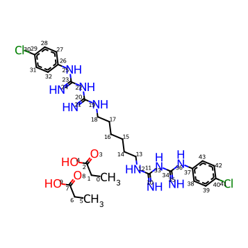 CCC(=O)O.CCC(=O)O.N=C(NCCCCCCNC(=N)NC(=N)Nc1ccc(Cl)cc1)NC(=N)Nc1ccc(Cl)cc1